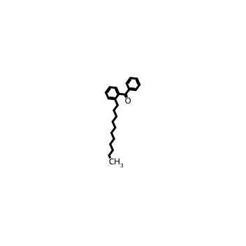 CCCCCCCCCCCc1ccccc1C(=O)c1ccccc1